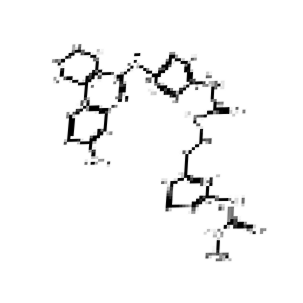 Cc1ccc(C2=C(C(=O)Nc3ccc(NC(=O)OCCc4cccc(NC(=O)OC(C)(C)C)n4)cc3)CCCC2)cc1